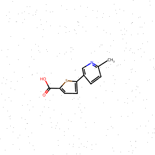 Cc1ccc(-c2ccc(C(=O)O)s2)cn1